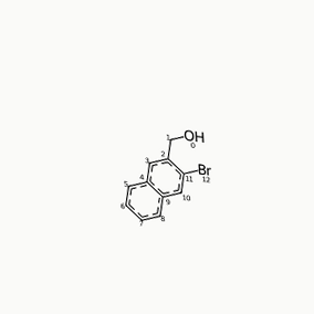 OCc1cc2ccccc2cc1Br